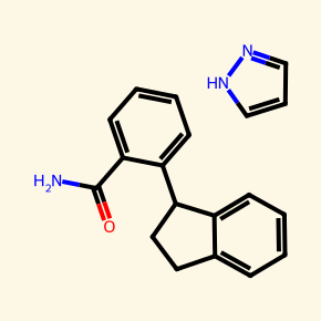 NC(=O)c1ccccc1C1CCc2ccccc21.c1cn[nH]c1